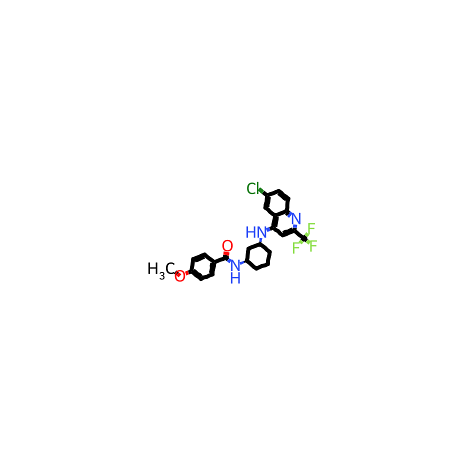 COc1ccc(C(=O)N[C@@H]2CCC[C@H](Nc3cc(C(F)(F)F)nc4ccc(Cl)cc34)C2)cc1